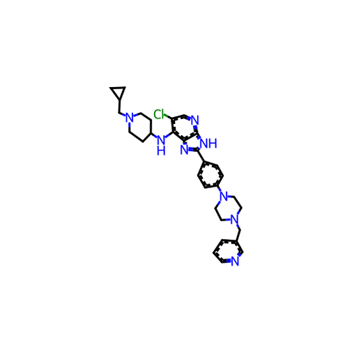 Clc1cnc2[nH]c(-c3ccc(N4CCN(Cc5cccnc5)CC4)cc3)nc2c1NC1CCN(CC2CC2)CC1